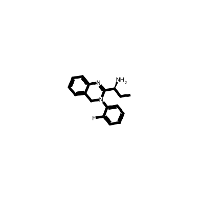 CC[C@H](N)C1=Nc2ccccc2CN1c1ccccc1F